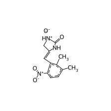 Cc1ccc([N+](=O)[O-])c(C=C2C[NH+]([O-])C(=O)N2)c1C